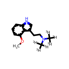 [2H]C([2H])([2H])N(CCc1c[nH]c2cccc(OC)c12)C([2H])([2H])[2H]